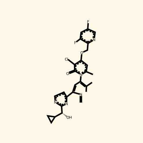 C=N/C(=C\C(=C(C)C)n1c(C)cc(OCc2ncc(F)cc2F)c(Cl)c1=O)c1ccnc([C@H](O)C2CC2)n1